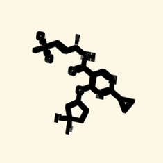 C[C@@H](/C=C/S(C)(=O)=O)NC(=O)c1cnc(C2CC2)nc1OC1CCC(F)(F)C1